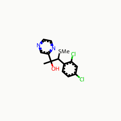 CSC(c1ccc(Cl)cc1Cl)C(C)(O)c1cnccn1